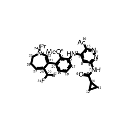 COc1c(Nc2cc(NC(=O)C3CC3)nnc2C(C)=O)cccc1C1=CN(C(C)C)CCC=C1C(F)F